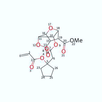 C=CC(=O)OC1(CC(=O)OC2C3OC(=O)C4C3OC2C4C(=O)OC)CCCC1